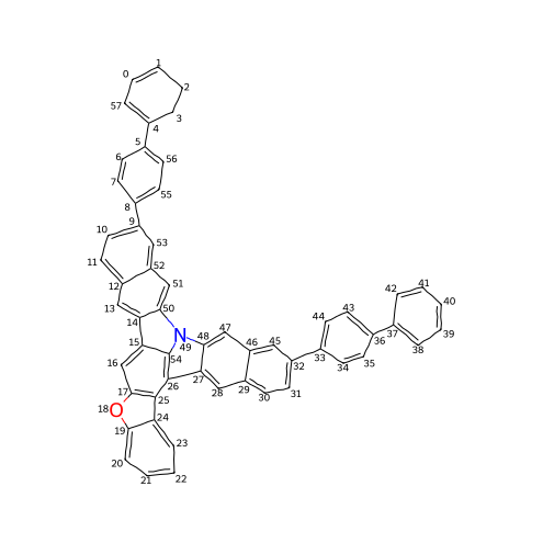 C1=CCCC(c2ccc(-c3ccc4cc5c6cc7oc8ccccc8c7c7c8cc9ccc(-c%10ccc(-c%11ccccc%11)cc%10)cc9cc8n(c5cc4c3)c67)cc2)=C1